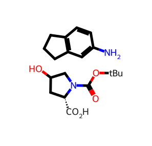 CC(C)(C)OC(=O)N1CC(O)C[C@H]1C(=O)O.Nc1ccc2c(c1)CCC2